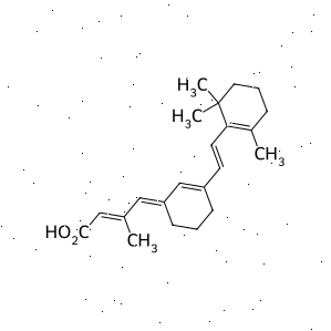 CC1=C(/C=C/C2=CC(=C/C(C)=C/C(=O)O)/CCC2)C(C)(C)CCC1